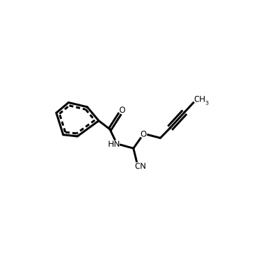 CC#CCOC(C#N)NC(=O)c1ccccc1